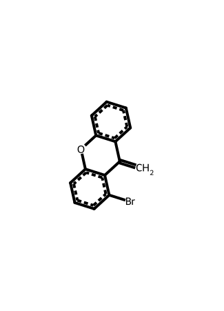 C=C1c2ccccc2Oc2cccc(Br)c21